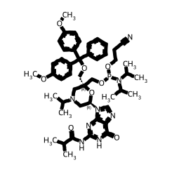 COc1ccc(C(OC[C@@]2(COP(OCCC#N)N(C(C)C)C(C)C)CN(C(C)C)C[C@H](n3cnc4c(=O)[nH]c(NC(=O)C(C)C)nc43)O2)(c2ccccc2)c2ccc(OC)cc2)cc1